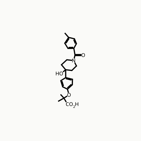 Cc1ccc(C(=O)N2CCC(O)(c3ccc(OC(C)(C)C(=O)O)cc3)CC2)cc1